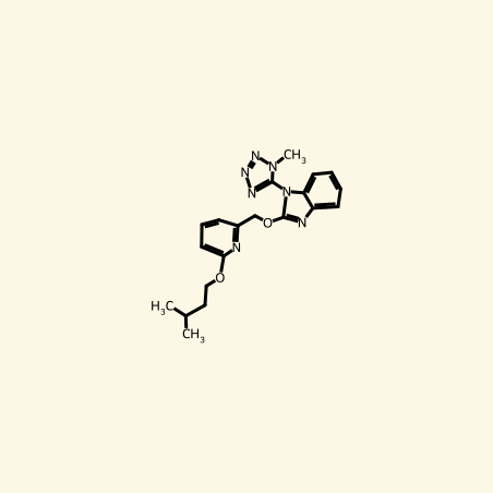 CC(C)CCOc1cccc(COc2nc3ccccc3n2-c2nnnn2C)n1